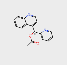 CC(=O)O[C@H](c1ccccn1)c1ccnc2ccccc12